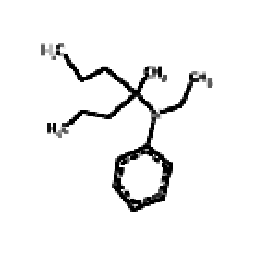 CCCC(C)(CCC)N(CC)c1ccccc1